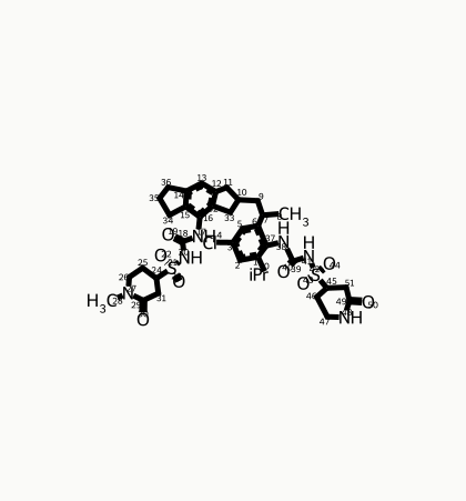 CC(C)c1cc(Cl)cc(C(C)CC2Cc3cc4c(c(NC(=O)NS(=O)(=O)C5CCN(C)C(=O)C5)c3C2)CCC4)c1NC(=O)NS(=O)(=O)C1CCNC(=O)C1